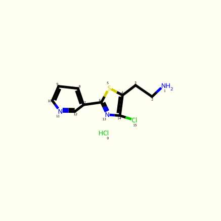 Cl.NCCc1sc(-c2cccnc2)nc1Cl